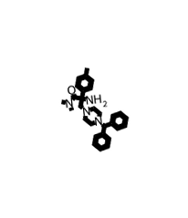 Cc1ccc(C(N)(CN2CCN(C(c3ccccc3)c3ccccc3)CC2)C(=O)N(C)C)cc1